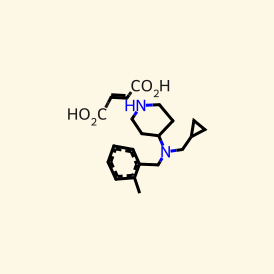 Cc1ccccc1CN(CC1CC1)C1CCNCC1.O=C(O)C=CC(=O)O